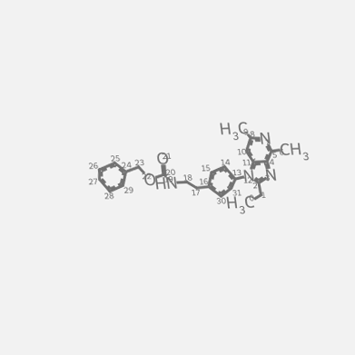 CCc1nc2c(C)nc(C)cc2n1-c1ccc(CCNC(=O)OCc2ccccc2)cc1